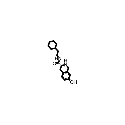 O=C(NCCC1CCCCC1)[C@H]1Cc2ccc(O)cc2CN1